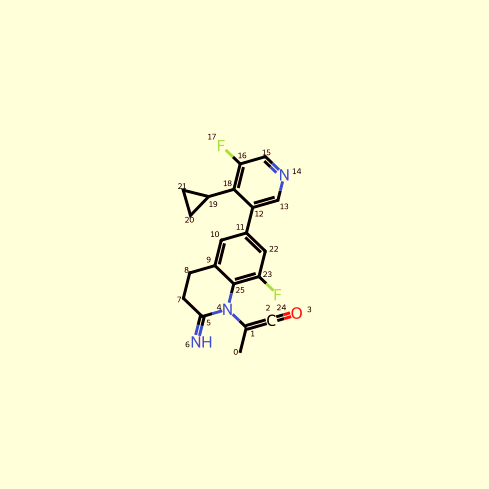 CC(=C=O)N1C(=N)CCc2cc(-c3cncc(F)c3C3CC3)cc(F)c21